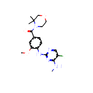 CNc1nc(Nc2ccc(C(=O)N3CCOCC3(C)C)cc2OC)ncc1Cl